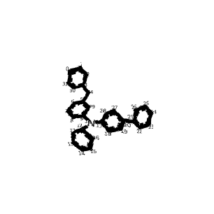 c1ccc(Cc2cccc(N(c3ccccc3)c3ccc(-c4ccccc4)cc3)c2)cc1